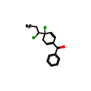 CCC(Br)C1(Cl)C=CC(C(=O)c2ccccc2)=CC1